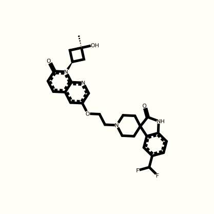 C[C@]1(O)C[C@@H](n2c(=O)ccc3cc(OCCN4CCC5(CC4)C(=O)Nc4ccc(C(F)F)cc45)cnc32)C1